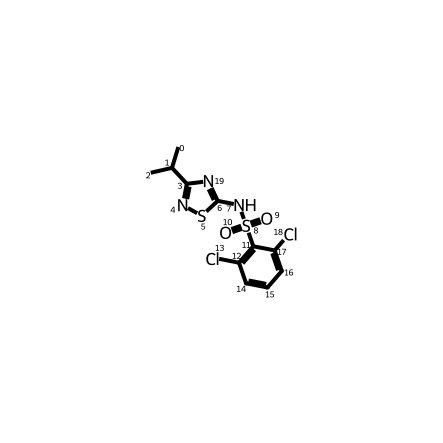 CC(C)c1nsc(NS(=O)(=O)c2c(Cl)cccc2Cl)n1